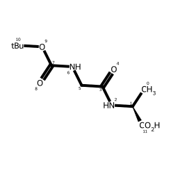 C[C@H](NC(=O)CNC(=O)OC(C)(C)C)C(=O)O